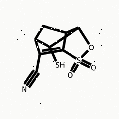 N#CC1=C2C3CC1C(S)C3OS2(=O)=O